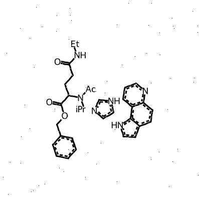 CCNC(=O)CCC(C(=O)OCc1ccccc1)N(C(C)=O)C(C)C.c1c[nH]cn1.c1cnc2ccc3cc[nH]c3c2c1